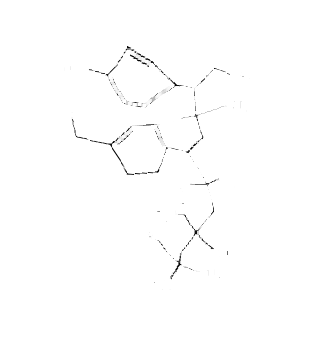 CC1=C=C=C(C(CC(C)(C)C)C(C)(C)CC(C2=CC=C(CBr)CC2)C(C)(C)CC(C)(C)C(C)(C)C(C)(C)C)C=C1